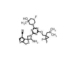 CN(C)CC1(COc2nc(N3C[C@@H](F)C[C@@](C)(O)C3)nc(N3CC4(SCc5scc(C#N)c54)C3N)n2)CC1(F)F